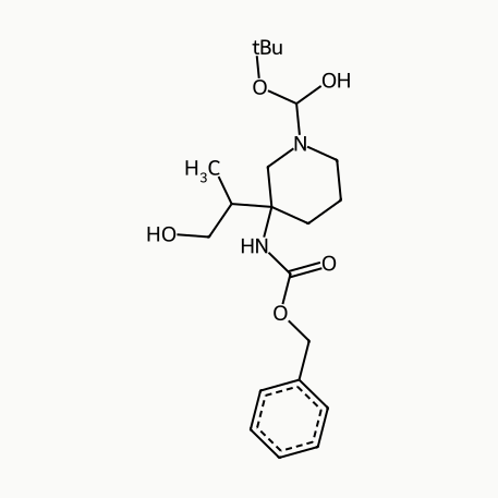 CC(CO)C1(NC(=O)OCc2ccccc2)CCCN(C(O)OC(C)(C)C)C1